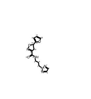 O=C(NCCCn1nccn1)C1=NOC(c2ccco2)C1